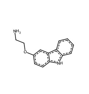 NCCOc1ccc2[nH]c3ccccc3c2c1